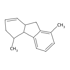 Cc1cccc2c1CC1C=CCC(C)C21